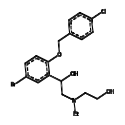 CCN(CCO)CC(O)c1cc(Br)ccc1OCc1ccc(Cl)cc1